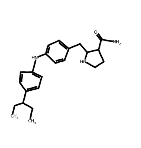 CCC(CC)c1ccc(Nc2ccc(CC3NCCC3C(N)=O)cc2)cc1